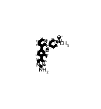 C[S+]([O-])N1CCC([S+]([O-])c2ncccc2-c2ccc(-c3cnc(N)nc3)c(F)c2)CC1